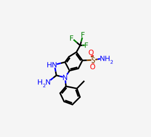 Cc1ccccc1N1c2cc(S(N)(=O)=O)c(C(F)(F)F)cc2NC1N